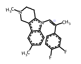 C/C(=C/n1c2c(c3cc(C)ccc31)CN(C)CC2)c1ccc(F)c(F)c1